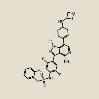 CCn1nc(-c2cc(F)c(NS(=O)(=O)Cc3ccccc3Cl)cc2F)c2c(N)ncc(C3=CC[C@H](NC4COC4)CC3)c21